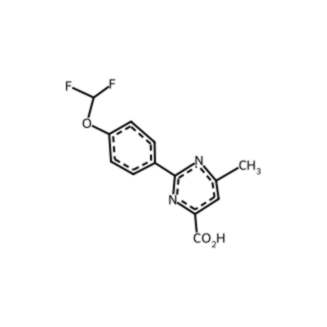 Cc1cc(C(=O)O)nc(-c2ccc(OC(F)F)cc2)n1